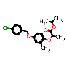 Cc1cc(OCc2ccc(Cl)cc2)ccc1OC(C)C(=O)OC(C)C